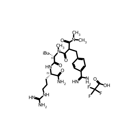 CCC(C)[C@@H](C(=O)N[C@@H](CCCNC(=N)N)C(N)=O)N(C)C(=O)C(Cc1ccc(C(=N)N)cc1)C(=O)N(C)C.O=C(O)C(F)(F)F